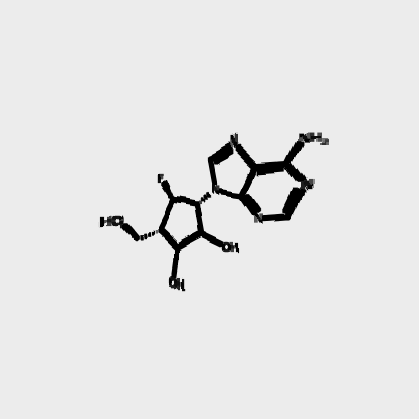 Nc1ncnc2c1ncn2[C@@H]1C(O)C(O)[C@H](CO)[C@H]1F